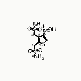 NS(=O)(=O)Cc1scc(NO)c1CS(N)(=O)=O